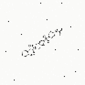 N[C@@H](C(=O)N1Cc2cn(S(=O)(=O)c3ccc(OC(F)F)cc3)nc2C1)c1ccccc1F